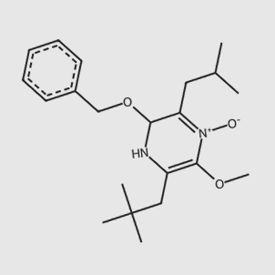 COC1=C(CC(C)(C)C)NC(OCc2ccccc2)C(CC(C)C)=[N+]1[O-]